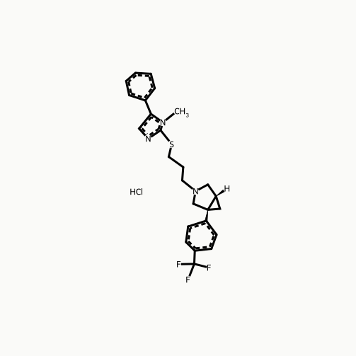 Cl.Cn1c(-c2ccccc2)cnc1SCCCN1C[C@@H]2C[C@]2(c2ccc(C(F)(F)F)cc2)C1